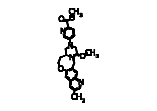 COC(=O)c1ccc(N2CC3CCOc4cc5cc(C)cnc5cc4CN3[C@H](OC)C2)cn1